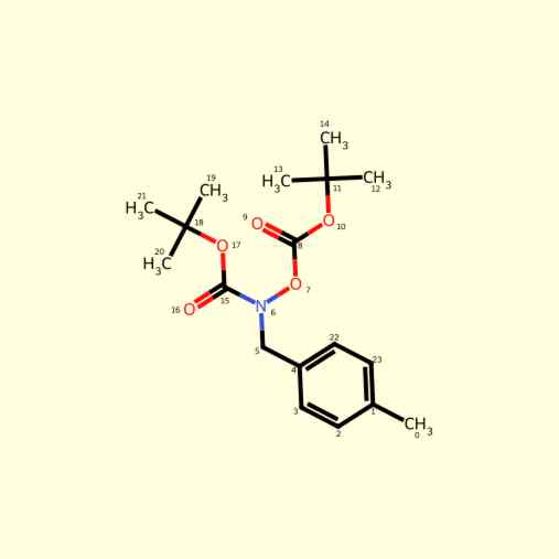 Cc1ccc(CN(OC(=O)OC(C)(C)C)C(=O)OC(C)(C)C)cc1